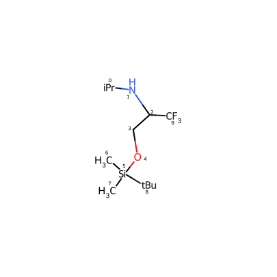 CC(C)NC(CO[Si](C)(C)C(C)(C)C)C(F)(F)F